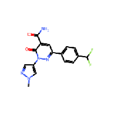 Cn1cc(-n2nc(-c3ccc(C(F)F)cc3)cc(C(N)=O)c2=O)cn1